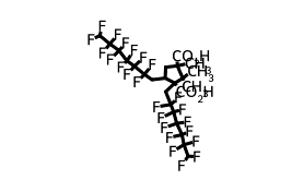 CC1(C(=O)O)CC(CC(F)(F)C(F)(F)C(F)(F)C(F)(F)C(F)(F)C(F)F)C(CC(F)(F)C(F)(F)C(F)(F)C(F)(F)C(F)(F)C(F)F)(C(=O)O)C1(C)C